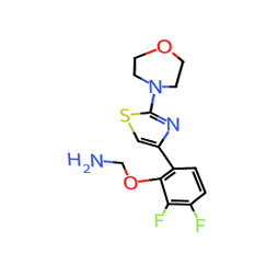 NCOc1c(-c2csc(N3CCOCC3)n2)ccc(F)c1F